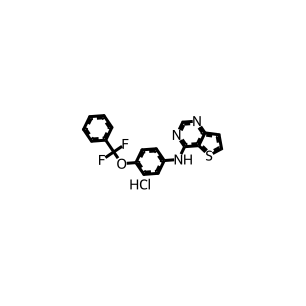 Cl.FC(F)(Oc1ccc(Nc2ncnc3ccsc23)cc1)c1ccccc1